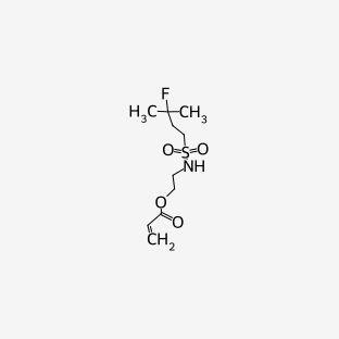 C=CC(=O)OCCNS(=O)(=O)CCC(C)(C)F